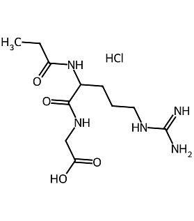 CCC(=O)NC(CCCNC(=N)N)C(=O)NCC(=O)O.Cl